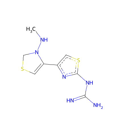 CNN1CSC=C1c1csc(NC(=N)N)n1